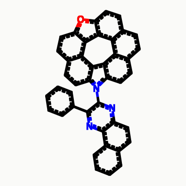 c1ccc(-c2nc3c(ccc4ccccc43)nc2-n2c3ccc4ccc5ccc6oc7ccc8ccc2c2c8c7c6c5c4c23)cc1